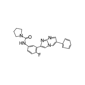 O=C(Nc1ccc(F)c(-c2cn3cc(-c4ccccc4)cnc3n2)c1)N1CCCC1